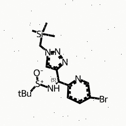 CC(C)(C)[S+]([O-])N[C@@H](c1ccc(Br)cn1)c1cn(C[Si](C)(C)C)nn1